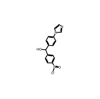 O=[N+]([O-])c1ccc(C(O)c2ccc(-n3ccnc3)cc2)cc1